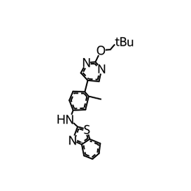 Cc1cc(Nc2nc3ccccc3s2)ccc1-c1cnc(OCC(C)(C)C)nc1